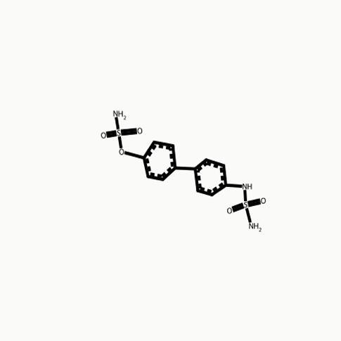 NS(=O)(=O)Nc1ccc(-c2ccc(OS(N)(=O)=O)cc2)cc1